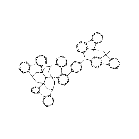 CC1(C)c2ccccc2-c2ccc(N(c3ccc(-c4cccc5c4-c4ccccc4C4CC67CC(CCC89CC(CCC5(C4)C86)c4ccccc4-c4ccccc49)c4ccccc4-c4ccccc47)cc3)c3cccc4c3C(C)(C)c3ccccc3-4)cc21